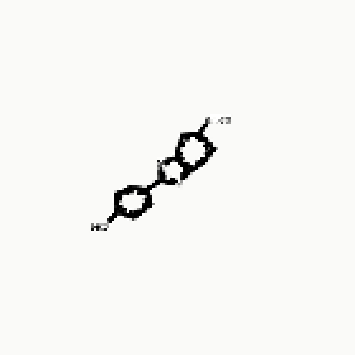 CCCCCCc1ccc2nc(-c3ccc(O)cc3)sc2c1